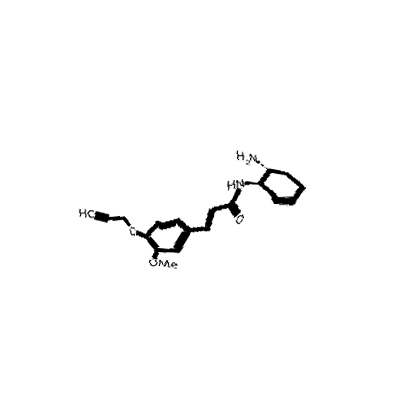 C#CCOc1ccc(/C=C/C(=O)N[C@@H]2CCCC[C@H]2N)cc1OC